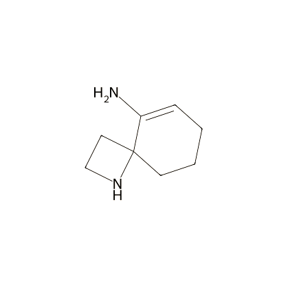 NC1=CCCCC12CCN2